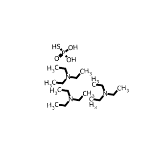 CCN(CC)CC.CCN(CC)CC.CCN(CC)CC.O=P(O)(O)S